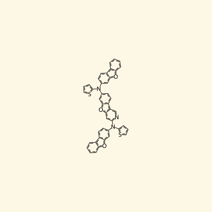 c1csc(N(c2ccc3c(c2)oc2ccccc23)c2ccc3c(c2)oc2cc(N(c4ccc5c(c4)oc4ccccc45)c4cccs4)ncc23)c1